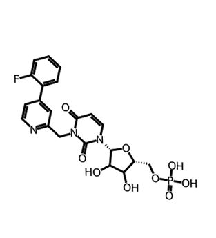 O=c1ccn([C@@H]2O[C@H](COP(=O)(O)O)C(O)C2O)c(=O)n1Cc1cc(-c2ccccc2F)ccn1